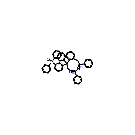 O=P(c1ccccc1)(c1ccccc1)c1cccc(C2(c3ccccc3)C/N=C(c3ccccc3)\N=C(\c3ccccc3)Cc3ccccc32)c1